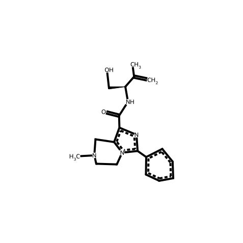 C=C(C)[C@H](CO)NC(=O)c1nc(-c2ccccc2)n2c1CN(C)CC2